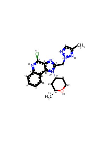 Cc1cnn(Cc2nc3c(Cl)nc4ccccc4c3n2[C@@H]2CCO[C@H](C)C2)n1